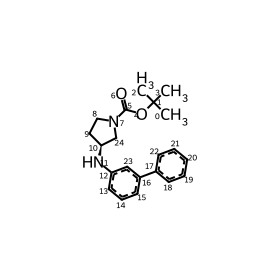 CC(C)(C)OC(=O)N1CC[C@H](Nc2cccc(-c3ccccc3)c2)C1